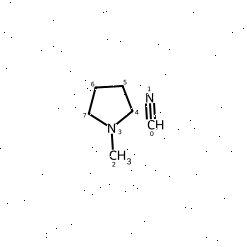 C#N.CN1CCCC1